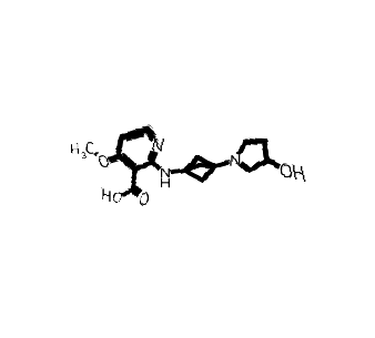 COc1ccnc(NC23CC(N4CCC(O)C4)(C2)C3)c1C(=O)O